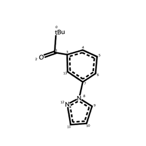 CC(C)(C)C(=O)c1cccc(-n2cccn2)c1